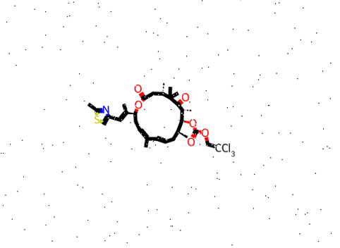 CC1=C/C[C@@H](/C(C)=C/c2csc(C)n2)OC(=O)C[C@H](C)C(C)(C)C(=O)[C@H](C)[C@@H](OC(=O)OCC(Cl)(Cl)Cl)[C@@H](C)C\C=C\1